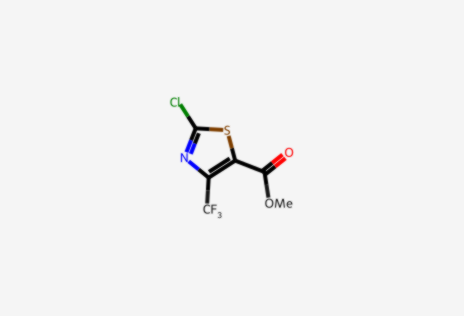 COC(=O)c1sc(Cl)nc1C(F)(F)F